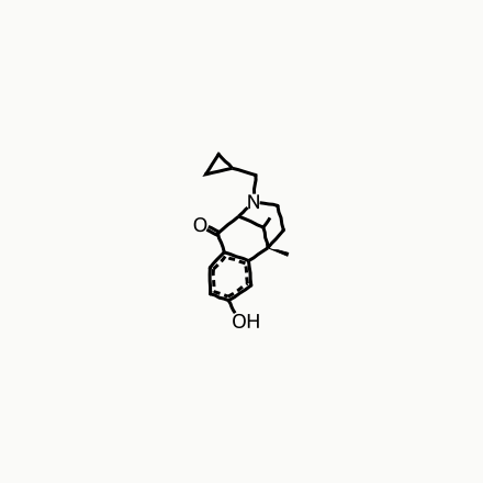 CC1C2C(=O)c3ccc(O)cc3[C@@]1(C)CCN2CC1CC1